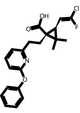 CC1(C)[C@H](/C=C(\F)Cl)[C@@]1(CCc1cccc(Oc2ccccc2)n1)C(=O)O